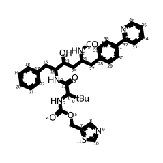 CC(C)(C)C(NC(=O)OCc1cncs1)C(=O)NC(Cc1ccccc1)C(O)CC(Cc1ccc(-c2ccccn2)cc1)NC(=O)O